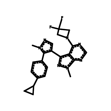 Cn1ncc(-c2nn(C)c3ncnc(N4CC(F)(F)C4)c23)c1-c1ccc(C2CC2)cc1